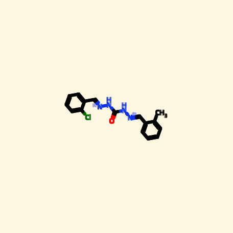 Cc1ccccc1/C=N/NC(=O)N/N=C/c1ccccc1Cl